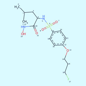 CC(C)CC(NS(=O)(=O)c1ccc(OCCCF)cc1)C(=O)NO